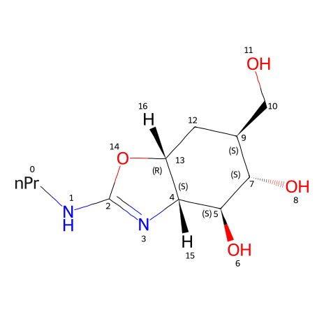 CCCNC1=N[C@H]2[C@H](O)[C@@H](O)[C@H](CO)C[C@H]2O1